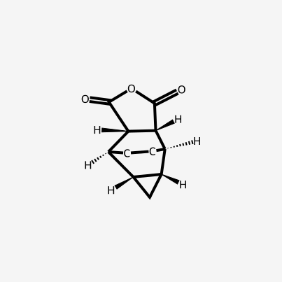 O=C1OC(=O)[C@H]2[C@H]3CC[C@H]([C@@H]4C[C@@H]43)[C@@H]12